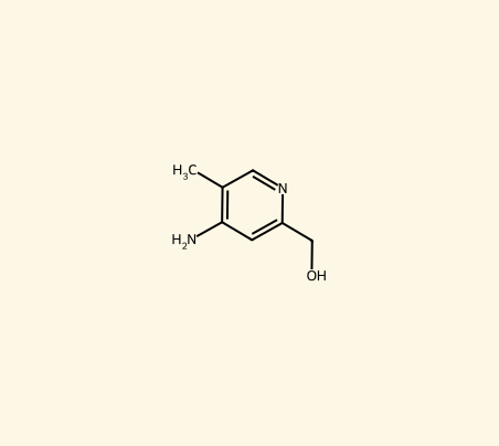 Cc1cnc(CO)cc1N